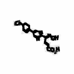 O=C(O)CCC(=NO)c1ncc(-c2ccc(Cl)cc2)cn1